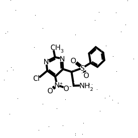 Cc1nc(Cl)c([N+](=O)[O-])c(C(CN)S(=O)(=O)c2ccccc2)n1